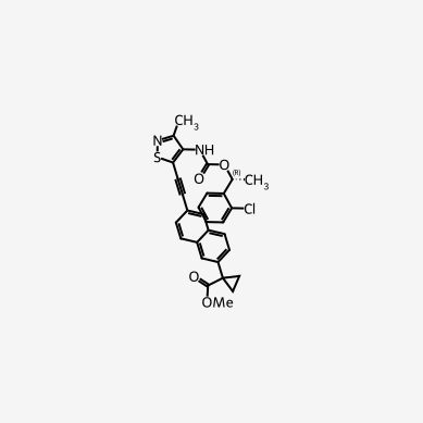 COC(=O)C1(c2ccc3cc(C#Cc4snc(C)c4NC(=O)O[C@H](C)c4ccccc4Cl)ccc3c2)CC1